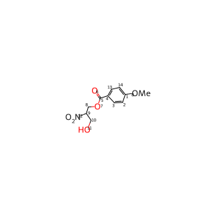 COc1ccc(C(=O)OCC(CO)[N+](=O)[O-])cc1